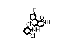 O=c1[nH]ccc2c(Nc3c(Cl)cccc3Cl)nc3ccc(F)cc3c12